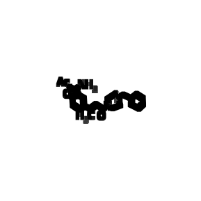 CC(=O)c1oc2ccc(C(C)=CC(=O)N3CCN(Cc4ccccc4)CC3)cc2c1N